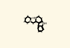 c1ccc2c3c([nH]c2c1)CCNC3CN1CCCCC1